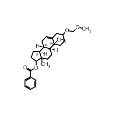 COCOC1CC[C@@]2(C)C(=CC[C@@H]3[C@H]2CC[C@]2(C)C(OC(=O)c4ccccc4)CC[C@@H]32)C1